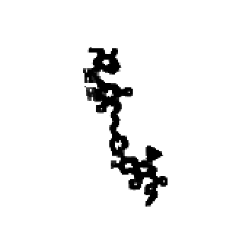 CCOC(=O)c1cn(C2CC2)c2cc(N3CCN(CCCCn4c(=O)cc(Nc5ccc(C)c(CC)c5)[nH]c4=O)CC3)c(F)cc2c1=O